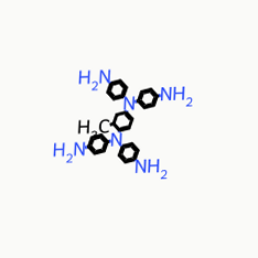 CC1CC(N(c2ccc(N)cc2)c2ccc(N)cc2)=CC=C1N(c1ccc(N)cc1)c1ccc(N)cc1